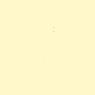 O=[C]C(CF)CCCCCCCCCCCCCCOC1CC[CH]CC1